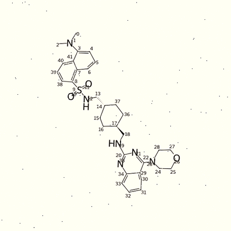 CN(C)c1cccc2c(S(=O)(=O)NC[C@H]3CC[C@H](CNc4nc(N5CCOCC5)c5ccccc5n4)CC3)cccc12